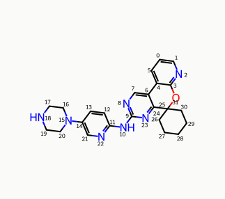 c1cnc2c(c1)-c1cnc(Nc3ccc(N4CCNCC4)cn3)nc1C1(CCCCC1)O2